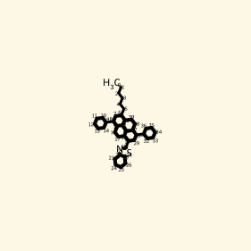 CCCCCCc1cc(-c2ccccc2)c2ccc3c(-c4nc5ccccc5s4)cc(-c4ccccc4)c4ccc1c2c43